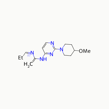 C=C(/N=C\CC)Nc1ccnc(N2CCC(OC)CC2)n1